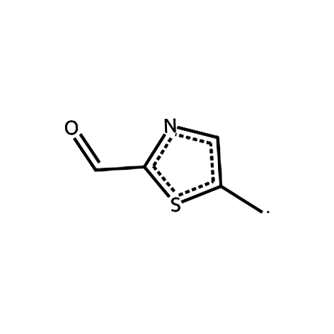 [CH2]c1cnc(C=O)s1